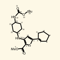 COC(=O)c1sc(C2=CCCCC2)cc1NC1CCC(NC(=O)OC(C)(C)C)CC1